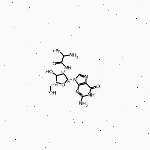 CCCC(N)C(=O)N[C@H]1C(O)[C@@H](CO)O[C@H]1n1cnc2c(=O)[nH]c(N)nc21